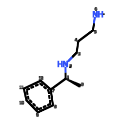 C[C@H](NCCC[NH])c1ccccc1